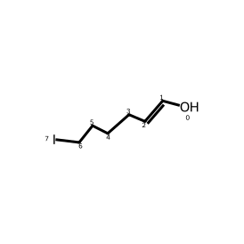 OC=CCCCCI